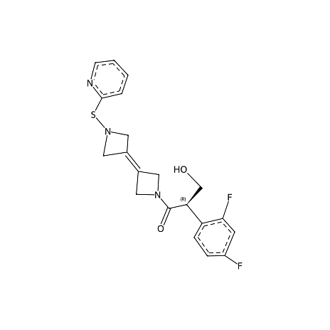 O=C([C@@H](CO)c1ccc(F)cc1F)N1CC(=C2CN(Sc3ccccn3)C2)C1